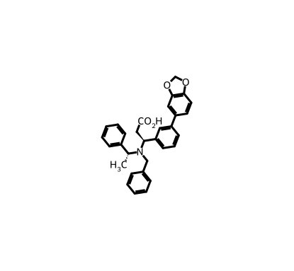 C[C@H](c1ccccc1)N(Cc1ccccc1)[C@@H](CC(=O)O)c1cccc(-c2ccc3c(c2)OCO3)c1